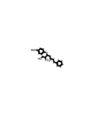 COc1ccc(SC(CCCCc2ccccc2)C(CO)C(=O)O)cc1